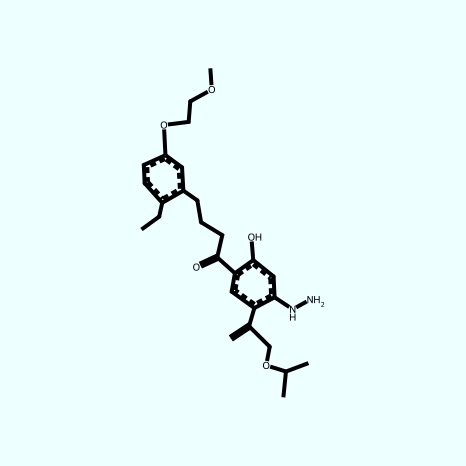 C=C(COC(C)C)c1cc(C(=O)CCCc2cc(OCCOC)ccc2CC)c(O)cc1NN